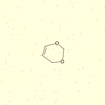 [C]1=COCOC1